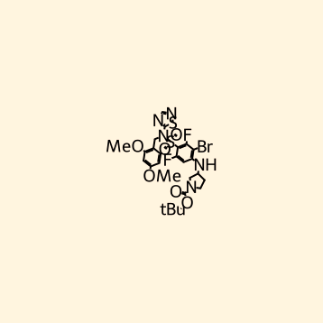 COc1ccc(CN(c2ncns2)S(=O)(=O)c2c(F)cc(NC3CCN(C(=O)OC(C)(C)C)C3)c(Br)c2F)c(OC)c1